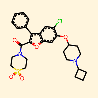 O=C(c1oc2cc(OC3CCN(C4CCC4)CC3)c(Cl)cc2c1-c1ccccc1)N1CCS(=O)(=O)CC1